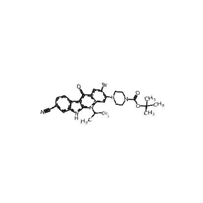 CC(C)n1c2cc(N3CCN(C(=O)OC(C)(C)C)CC3)c(Br)cc2c(=O)c2c3ccc(C#N)cc3[nH]c21